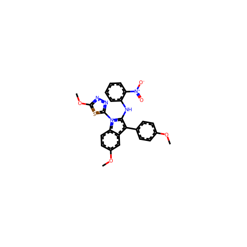 COc1ccc(-c2c(Nc3ccccc3[N+](=O)[O-])n(-c3nnc(OC)s3)c3ccc(OC)cc23)cc1